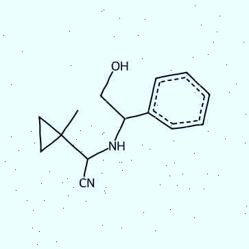 CC1(C(C#N)NC(CO)c2ccccc2)CC1